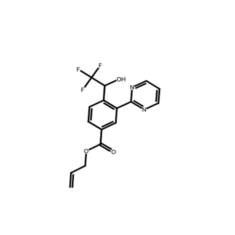 C=CCOC(=O)c1ccc(C(O)C(F)(F)F)c(-c2ncccn2)c1